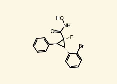 O=C(NO)[C@]1(F)[C@H](c2ccccc2)[C@H]1c1ccccc1Br